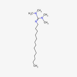 CCCCCCCCCCCCCN=C(N(C)C)N(C)C